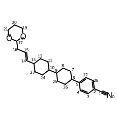 N#Cc1ccc(C2CCC(C3CCC(C=CCC4OCCCO4)CC3)CC2)cc1